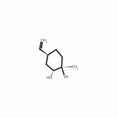 C=C[C@H]1CC[C@@](C)(S)[C@H](O)C1